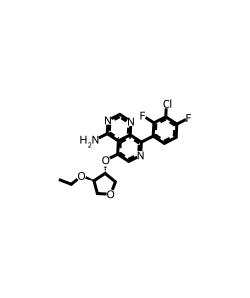 CCO[C@@H]1COC[C@H]1Oc1cnc(-c2ccc(F)c(Cl)c2F)c2ncnc(N)c12